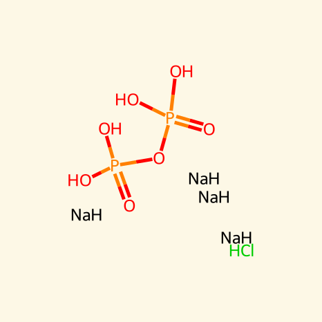 Cl.O=P(O)(O)OP(=O)(O)O.[NaH].[NaH].[NaH].[NaH]